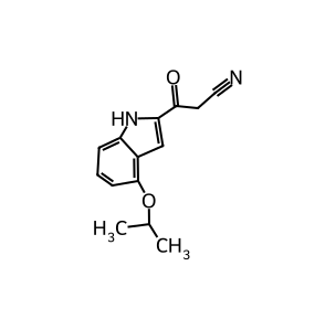 CC(C)Oc1cccc2[nH]c(C(=O)CC#N)cc12